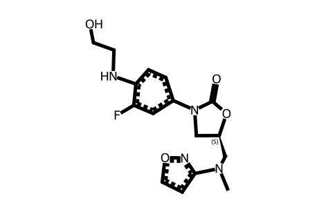 CN(C[C@H]1CN(c2ccc(NCCO)c(F)c2)C(=O)O1)c1ccon1